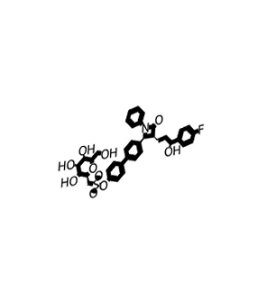 O=C1[C@H](CC[C@H](O)c2ccc(F)cc2)[C@@H](c2ccc(-c3ccc(OS(=O)(=O)C[C@@H]4OC(CO)[C@@H](O)[C@H](O)C4O)cc3)cc2)N1c1ccccc1